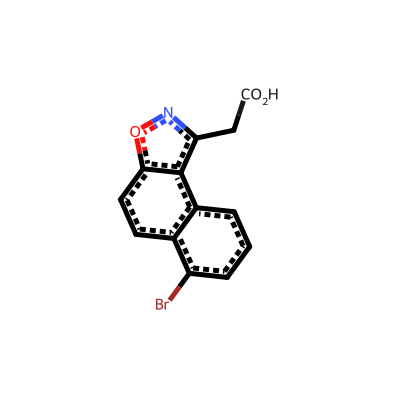 O=C(O)Cc1noc2ccc3c(Br)cccc3c12